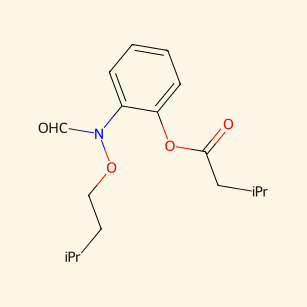 CC(C)CCON(C=O)c1ccccc1OC(=O)CC(C)C